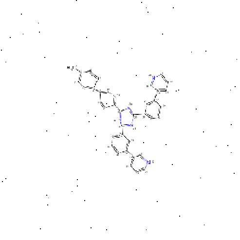 Cc1ccc(-c2ccc(-c3nc(-c4cccc(-c5cccnc5)c4)nc(-c4cccc(-c5cccnc5)c4)n3)cc2)cc1